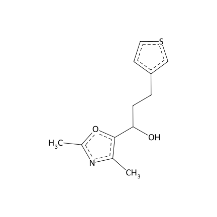 Cc1nc(C)c(C(O)CCc2ccsc2)o1